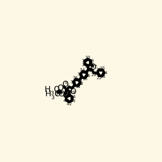 CC1(C)OC(=O)C(CC(=O)c2ccc(-c3ccc(-c4c(Cc5ccccc5)oc5ccccc45)cc3)cc2)(Cc2ccccc2)C(=O)O1